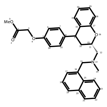 COC(=O)COc1ccc(C2C[C@@H](CN(C)Cc3cccc4ccccc34)Oc3ccccc32)cc1